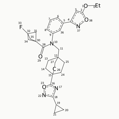 CCOc1cc(-c2cccc(N(CC34CCC(c5nc(C6CC6)no5)(CC3)CC4)C(=O)C34CC(F)(C3)C4)c2)no1